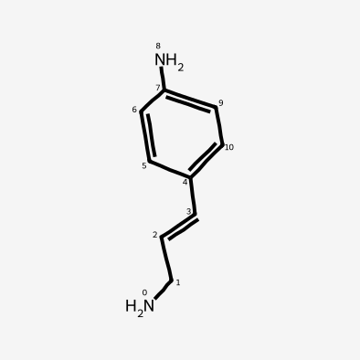 NCC=Cc1ccc(N)cc1